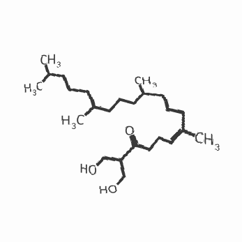 CC(=CCCC(=O)C(CO)CO)CCCC(C)CCCC(C)CCCC(C)C